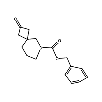 O=C1CC2(CCCN(C(=O)OCc3ccccc3)C2)C1